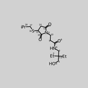 CCC(CC)(CO)CNC(=O)CCN1C(=O)CC(SCC(C)C)C1=O